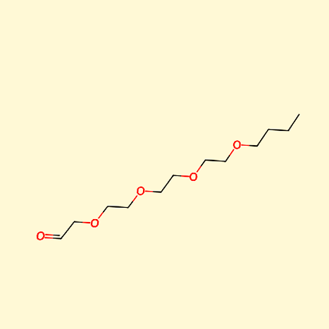 CCCCOCCOCCOCCOCC=O